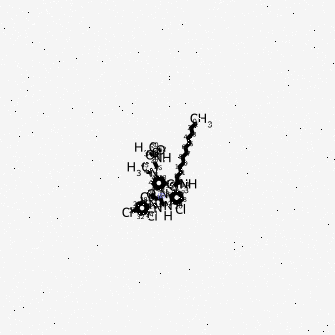 CCCCCCCCCCCCCC(=N)Oc1ccc(Cl)c(NC2=NN(c3c(Cl)cc(Cl)cc3Cl)C(=O)/C2=N\c2ccc(N(CC)CCNS(C)(=O)=O)cc2C)c1